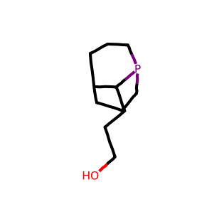 OCCCC1C2CCCP1CCC2